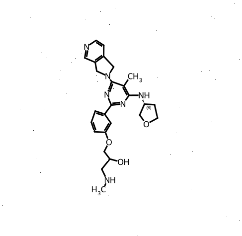 CNCC(O)COc1cccc(-c2nc(N[C@@H]3CCOC3)c(C)c(N3Cc4ccncc4C3)n2)c1